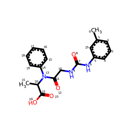 Cc1cccc(NC(=O)NCC(=O)N(c2ccccc2)C(C)C(=O)O)c1